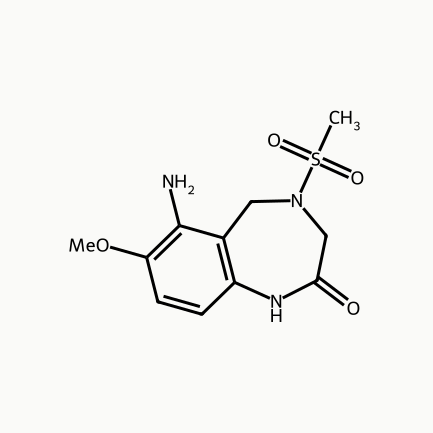 COc1ccc2c(c1N)CN(S(C)(=O)=O)CC(=O)N2